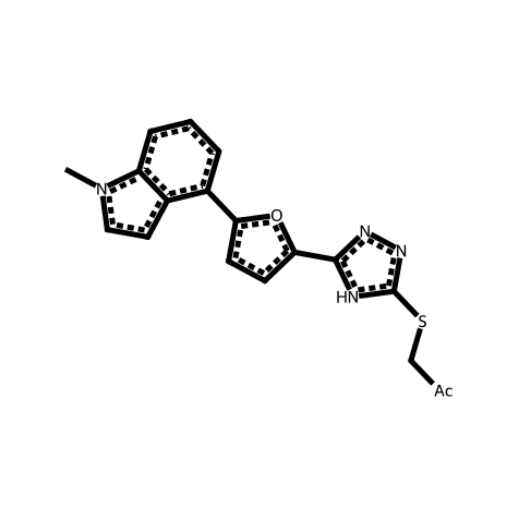 CC(=O)CSc1nnc(-c2ccc(-c3cccc4c3ccn4C)o2)[nH]1